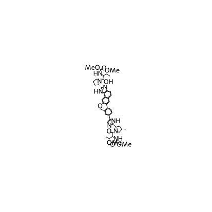 COC(=O)N[C@H](C(=O)N1C[C@@H](C)CC1c1ncc(-c2ccc3c(c2)COc2cc4c(ccc5nc([C@@H]6CC[C@H](C)N6C(O)[C@@H](NC(=O)OC)[C@@H](C)OC)[nH]c54)cc2-3)[nH]1)[C@@H](C)OC